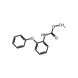 COC(=O)Nc1ccccc1Oc1ccccc1